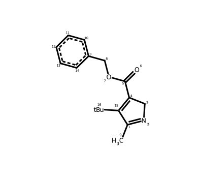 CC1=NCC(C(=O)OCc2ccccc2)=C1C(C)(C)C